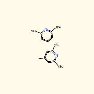 CC(C)(C)c1cccc(C(C)(C)C)n1.Cc1cc(C(C)(C)C)nc(C(C)(C)C)c1